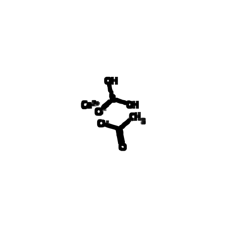 CC(=O)[O-].[Ca+2].[O-]B(O)O